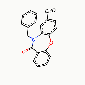 O=Cc1ccc2c(c1)N(Cc1ccccc1)C(=O)c1ccccc1O2